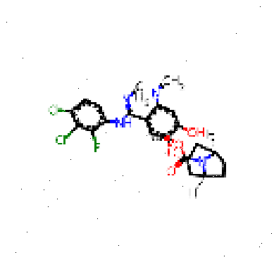 C=Nc1cc(O)c(O[C@@H]2C[C@H]3CC[C@@H](C2)N3C(=O)OC(C)(C)C)cc1/C(=N\C)Nc1ccc(Cl)c(Cl)c1F